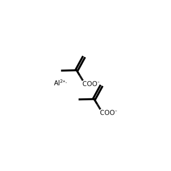 C=C(C)C(=O)[O-].C=C(C)C(=O)[O-].[Al+2]